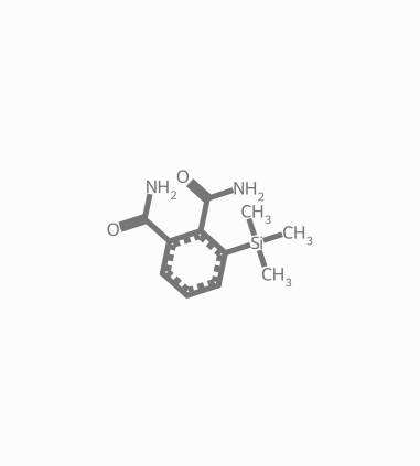 C[Si](C)(C)c1cccc(C(N)=O)c1C(N)=O